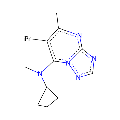 Cc1nc2ncnn2c(N(C)C2CCC2)c1C(C)C